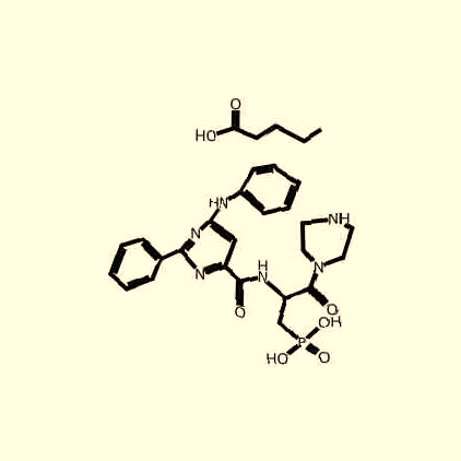 CCCCC(=O)O.O=C(NC(CP(=O)(O)O)C(=O)N1CCNCC1)c1cc(Nc2ccccc2)nc(-c2ccccc2)n1